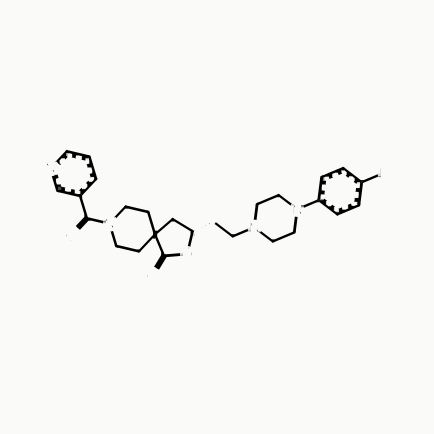 O=C(c1cccnc1)N1CCC2(CC1)C[C@H](CCN1CCN(c3ccc(F)cc3)CC1)OC2=O